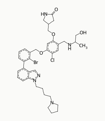 CC(CO)NCc1cc(Cl)c(OCc2cccc(-c3cccc4c3cnn4CCCCN3CCCC3)c2Br)cc1OCC1CNC(=O)C1